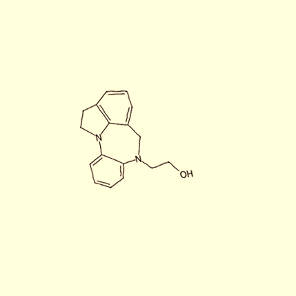 OCCN1Cc2cccc3c2N(CC3)c2ccccc21